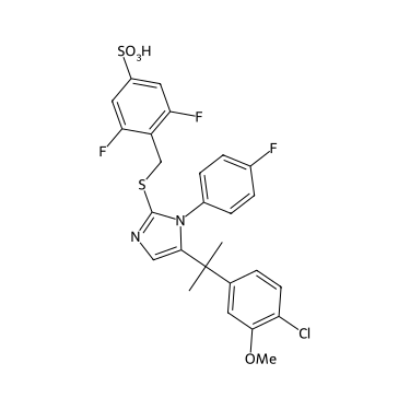 COc1cc(C(C)(C)c2cnc(SCc3c(F)cc(S(=O)(=O)O)cc3F)n2-c2ccc(F)cc2)ccc1Cl